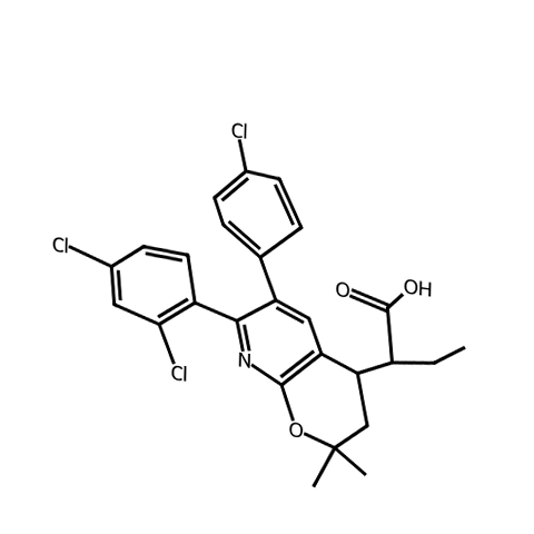 CCC(C(=O)O)C1CC(C)(C)Oc2nc(-c3ccc(Cl)cc3Cl)c(-c3ccc(Cl)cc3)cc21